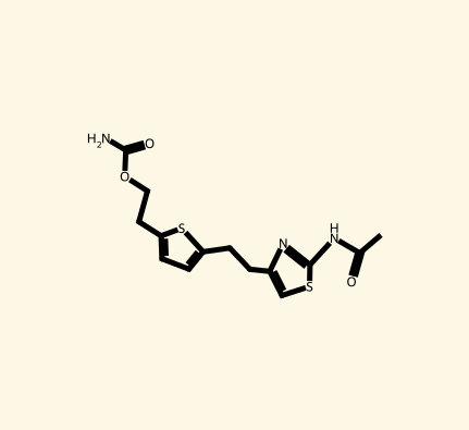 CC(=O)Nc1nc(CCc2ccc(CCOC(N)=O)s2)cs1